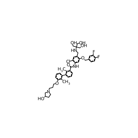 Cc1c(OCCCN2CC[C@@H](O)C2)cccc1-c1cccc(C(=O)Nc2cc(OCc3ccc(F)c(F)c3)c(CNC(CO)(CO)CO)cc2Cl)c1C